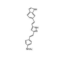 CC(=O)Nc1ccc(C=Cc2cc(C=Cc3ccc4cc[nH]c4c3)[nH]n2)cc1